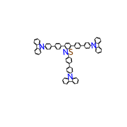 c1ccc2c(c1)c1ccccc1n2-c1ccc(-c2ccc(-c3nc4c(-c5ccc(-c6ccc(-n7c8ccccc8c8ccccc87)cc6)cc5)ccc(-c5ccc(-c6ccc(-n7c8ccccc8c8ccccc87)cc6)cc5)c4s3)cc2)cc1